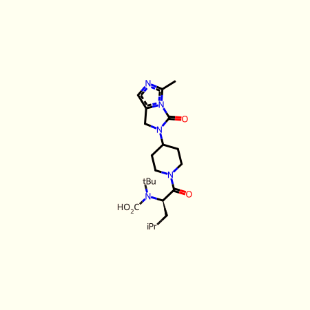 Cc1ncc2n1C(=O)N(C1CCN(C(=O)[C@@H](CC(C)C)N(C(=O)O)C(C)(C)C)CC1)C2